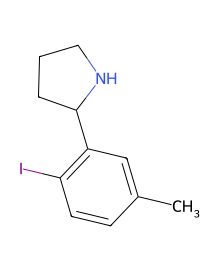 Cc1ccc(I)c(C2CCCN2)c1